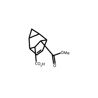 COC(=O)C1C2C=CC(C3CC23)C1C(=O)O